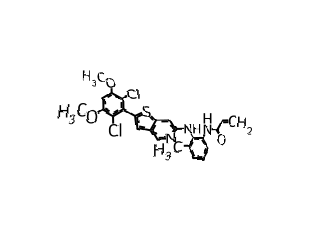 C=CC(=O)Nc1cccc(C)c1Nc1cc2sc(-c3c(Cl)c(OC)cc(OC)c3Cl)cc2cn1